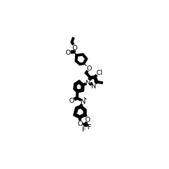 CCOC(=O)[C@H]1CC[C@H](OCc2c(Cl)c(C)nn2-c2cccc(C(=O)N(C)c3ccc4c(c3)OC(F)(F)O4)c2)CC1